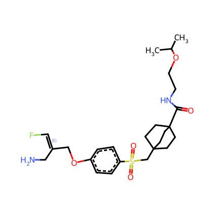 CC(C)OCCNC(=O)C12CCC(CS(=O)(=O)c3ccc(OC/C(=C/F)CN)cc3)(CC1)CC2